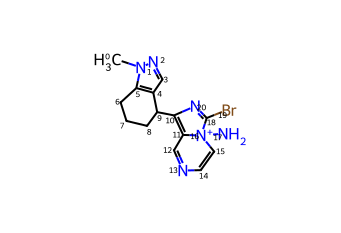 Cn1ncc2c1CCCC2C1=C2C=NC=C[N+]2(N)C(Br)=N1